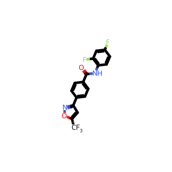 O=C(Nc1ccc(F)cc1F)c1ccc(-c2cc(C(F)(F)F)on2)cc1